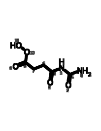 NC(=O)NC(=O)CCC(=O)OO